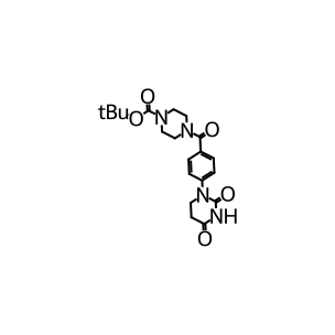 CC(C)(C)OC(=O)N1CCN(C(=O)c2ccc(N3CCC(=O)NC3=O)cc2)CC1